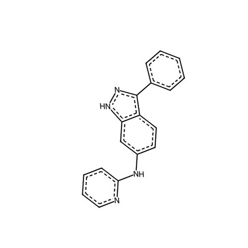 c1ccc(-c2n[nH]c3cc(Nc4ccccn4)ccc23)cc1